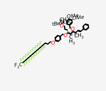 COc1ccc(CO[C@H]([C@@H](C)[C@@H](CCCO[Si](C)(C)C(C)(C)C)OCc2ccc(OCCCC(F)(F)C(F)(F)C(F)(F)C(F)(F)C(F)(F)C(F)(F)C(F)(F)C(F)(F)C(F)(F)C(F)(F)F)cc2)[C@@H](C)C=Cc2ccccc2)cc1OC